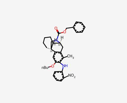 CCCCOc1cc2c(c(C)c1Nc1ccccc1[N+](=O)[O-])C[C@H]1[C@H]3CCCC[C@@]23CCN1C(=O)OCc1ccccc1